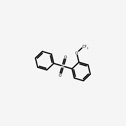 O=S(=O)(c1ccccc1)c1ccccc1OC(F)(F)F